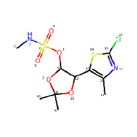 CNS(=O)(=O)OC1OC(C)(C)OC1c1sc(Cl)nc1C